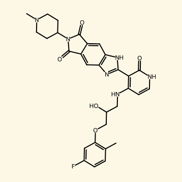 Cc1ccc(F)cc1OCC(O)CNc1cc[nH]c(=O)c1-c1nc2cc3c(cc2[nH]1)C(=O)N(C1CCN(C)CC1)C3=O